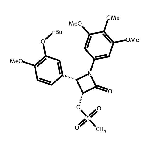 CCCCOc1cc([C@H]2[C@@H](OS(C)(=O)=O)C(=O)N2c2cc(OC)c(OC)c(OC)c2)ccc1OC